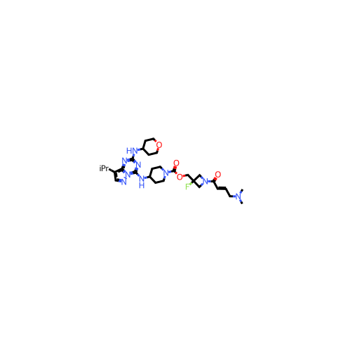 CC(C)c1cnn2c(NC3CCN(C(=O)OCC4(F)CN(C(=O)/C=C/CN(C)C)C4)CC3)nc(NC3CCOCC3)nc12